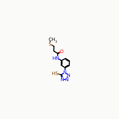 CSCCC(=O)Nc1cccc(-n2nnnc2S)c1